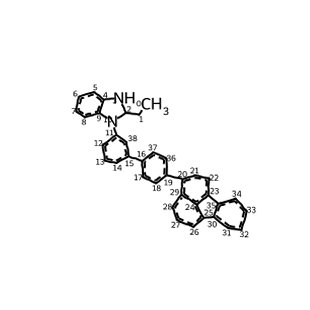 CCC1Nc2ccccc2N1c1cccc(-c2ccc(-c3ccc4c5c(cccc35)-c3ccccc3-4)cc2)c1